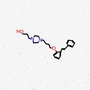 OCCCN1CCN(CCCCOc2ccccc2C=Cc2ccccc2)CC1